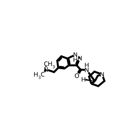 CN(C)Cc1ccc2[nH]nc(C(=O)N[C@@H]3CN4CCC3CC4)c2c1